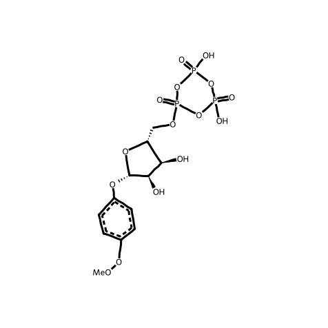 COOc1ccc(O[C@@H]2O[C@H](COP3(=O)OP(=O)(O)OP(=O)(O)O3)[C@@H](O)[C@H]2O)cc1